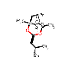 CC(C)C[Si](C)(C)O/C(=C/[C@@H](C)C(C)(C)C)O[SiH](C)C